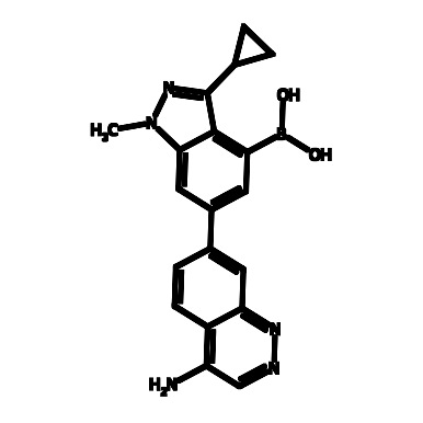 Cn1nc(C2CC2)c2c(B(O)O)cc(-c3ccc4c(N)cnnc4c3)cc21